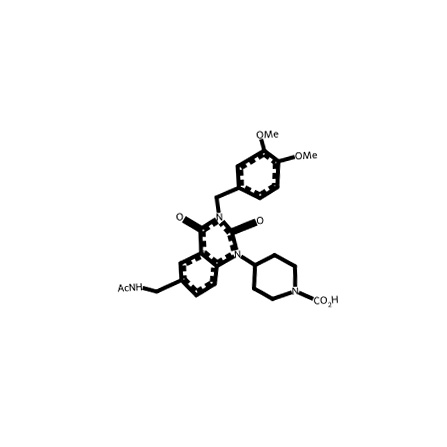 COc1ccc(Cn2c(=O)c3cc(CNC(C)=O)ccc3n(C3CCN(C(=O)O)CC3)c2=O)cc1OC